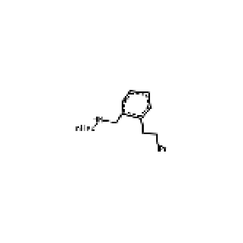 CCCCCCNCc1ccc[c]c1CCC(C)C